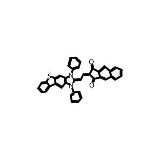 O=C1C(=C/C=C2\N(c3ccccc3)c3cc4sc5ccccc5c4cc3N2c2ccccc2)C(=O)c2cc3ccccc3cc21